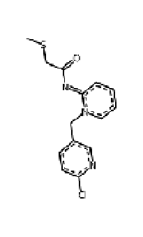 CSCC(=O)N=c1ccccn1Cc1ccc(Cl)nc1